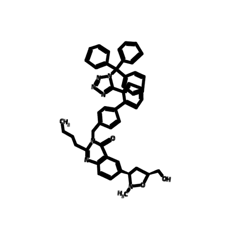 CCCCc1nc2ccc([C@H]3C[C@@H](CO)ON3C)cc2c(=O)n1Cc1ccc(-c2ccccc2-c2nnnn2C(c2ccccc2)(c2ccccc2)c2ccccc2)cc1